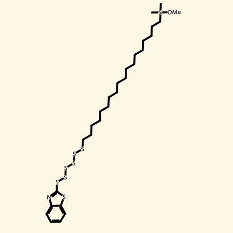 CO[Si](C)(C)CCCCCCCCCCCCCCCCCCSSSSSSc1nc2ccccc2s1